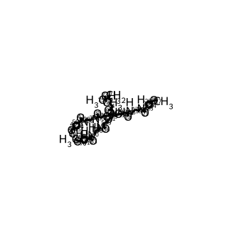 C=C(CCCC(=O)NC(COCCC(=O)NCCCNC(=O)c1ccc(OC)cc1)(COCCC(=O)NCCCNC(=O)c1ccc(OC)cc1)COCCC(=O)NCCCNC(=O)c1ccc(OC)cc1)C(C)(C)C